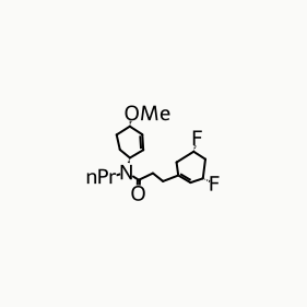 CCCN(C(=O)CCC1=C[C@@H](F)C[C@@H](F)C1)[C@H]1C=C[C@@H](OC)CC1